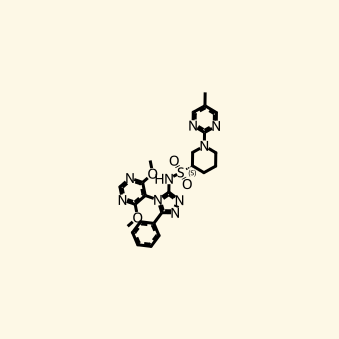 COc1ncnc(OC)c1-n1c(NS(=O)(=O)[C@H]2CCCN(c3ncc(C)cn3)C2)nnc1-c1ccccc1